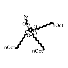 CCCCCCCC/C=C\CCCCCCCC(=O)OC1C(OC(=O)CCCCCCC/C=C\CCCCCCCC)[C@H](OC(=O)CCCCCCC/C=C\CCCCCCCC)C[C@@H]1COC(=O)CCN(C)C